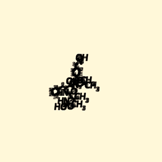 CC(C)CN(C[C@@H](O)[C@H](Cc1ccccc1)NC(=O)[C@H](NC(=O)O)C(C)C)S(=O)(=O)c1ccc(C=NO)cc1